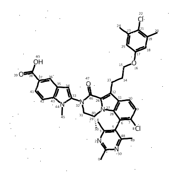 Cc1nc(C)c(-c2c(Cl)ccc3c(CCCOc4cc(C)c(Cl)c(C)c4)c4n(c23)[C@H](C)CN(c2cc3cc(C(=O)O)ccc3n2C)C4=O)c(C)n1